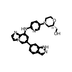 OC[C@@H]1CN(c2ccc(Nc3cc(-c4ccc5cn[nH]c5c4)cn4ccnc34)nc2)CCO1